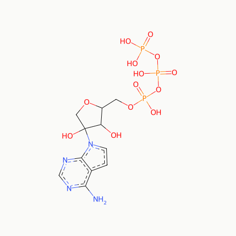 Nc1ncnc2c1ccn2C1(O)COC(COP(=O)(O)OP(=O)(O)OP(=O)(O)O)C1O